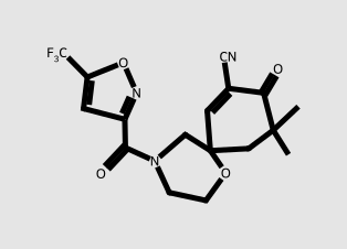 CC1(C)CC2(C=C(C#N)C1=O)CN(C(=O)c1cc(C(F)(F)F)on1)CCO2